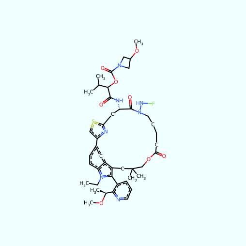 CCn1c(-c2cccnc2[C@H](C)OC)c2c3cc(ccc31)-c1csc(n1)C[C@H](NC(=O)C(OC(=O)N1CC(OC)C1)C(C)C)C(=O)N(NF)CCCCC(=O)OCC(C)(C)C2